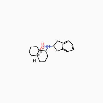 O[C@]12CCCC[C@@H]1CCCC2NC1Cc2ccccc2C1